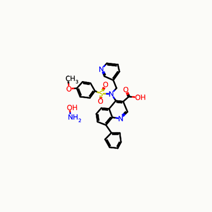 COc1ccc(S(=O)(=O)N(Cc2cccnc2)c2c(C(=O)O)cnc3c(-c4ccccc4)cccc23)cc1.NO